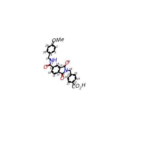 COc1ccc(CNC(=O)c2ccc3c(c2)C(=O)N(Cc2ccc(C(=O)O)cc2)C3=O)cc1